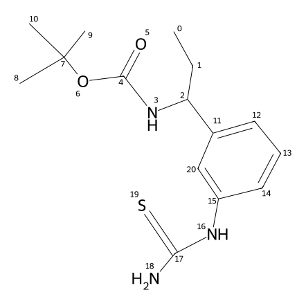 CCC(NC(=O)OC(C)(C)C)c1cccc(NC(N)=S)c1